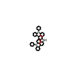 c1ccc(N(c2ccccc2)c2ccccc2-c2ccc3[nH]c4ccc(-c5ccccc5N(c5ccccc5)c5ccccc5)cc4c3c2)cc1